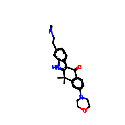 C=NCCc1ccc2c3c([nH]c2c1)C(C)(C)c1cc(N2CCOCC2)ccc1C3=O